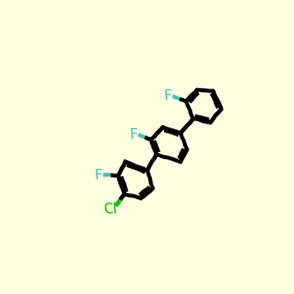 Fc1cc(-c2ccc(-c3ccccc3F)cc2F)ccc1Cl